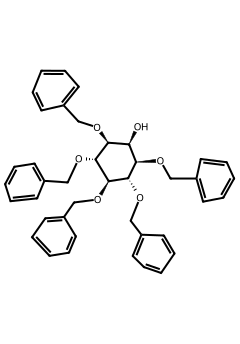 O[C@H]1[C@@H](OCc2ccccc2)[C@H](OCc2ccccc2)[C@@H](OCc2ccccc2)[C@H](OCc2ccccc2)[C@H]1OCc1ccccc1